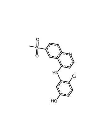 CS(=O)(=O)c1ccc2nccc(Nc3cc(O)ccc3Cl)c2c1